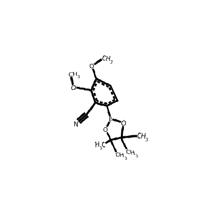 COc1ccc(B2OC(C)(C)C(C)(C)O2)c(C#N)c1OC